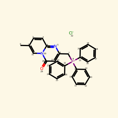 Cc1ccc2nc(C[P+](c3ccccc3)(c3ccccc3)c3ccccc3)cc(=O)n2c1.[Cl-]